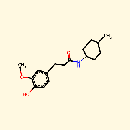 COc1cc(CCC(=O)N[C@H]2CC[C@H](C)CC2)ccc1O